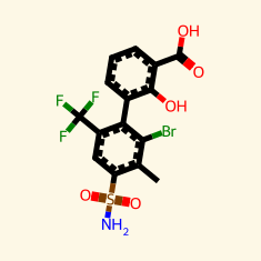 Cc1c(S(N)(=O)=O)cc(C(F)(F)F)c(-c2cccc(C(=O)O)c2O)c1Br